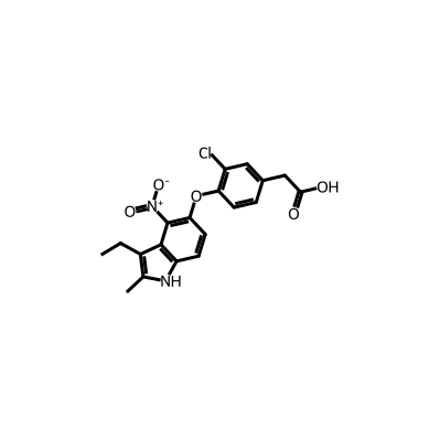 CCc1c(C)[nH]c2ccc(Oc3ccc(CC(=O)O)cc3Cl)c([N+](=O)[O-])c12